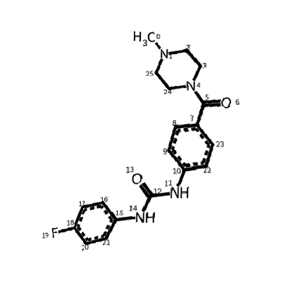 CN1CCN(C(=O)c2ccc(NC(=O)Nc3ccc(F)cc3)cc2)CC1